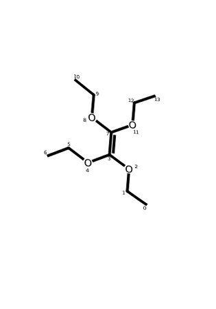 CCOC(OCC)=C(OCC)OCC